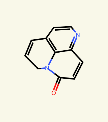 O=c1ccc2nccc3c2n1CC=C3